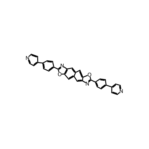 c1cc(-c2ccc(-c3nc4cc5cc6oc(-c7ccc(-c8ccncc8)cc7)nc6cc5cc4o3)cc2)ccn1